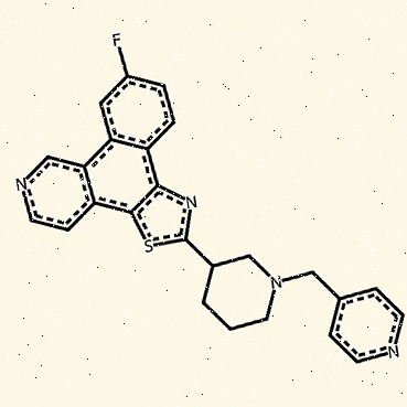 Fc1ccc2c(c1)c1cnccc1c1sc(C3CCCN(Cc4ccncc4)C3)nc21